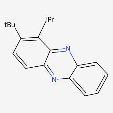 CC(C)c1c(C(C)(C)C)ccc2nc3ccccc3nc12